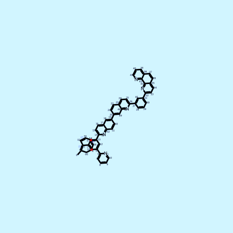 C\C1=C(c2cc(-c3ccccn3)cc(-c3ccc4cc(-c5ccc6ccc(-c7cccc(-c8ccc9ccc%10cccnc%10c9n8)c7)nc6c5)ccc4n3)c2)/C=C\C=C/CC1